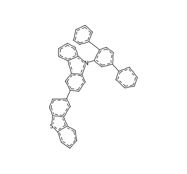 c1ccc(-c2ccc(-c3ccccc3)c(-n3c4ccccc4c4cc(-c5ccc6sc7ccccc7c6c5)ccc43)c2)cc1